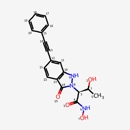 CC(O)[C@@H](C(=O)NO)n1[nH]c2cc(C#Cc3ccccc3)ccc2c1=O